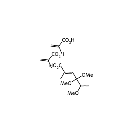 C=C(C)C(=O)O.C=C(C)C(=O)O.COC(C)C(C=C(C)C(=O)O)(OC)OC